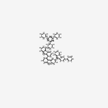 c1ccc(-c2ccc3c(c2)c2ccccc2n3-c2ccc3oc4cccc(-c5cccc6c5oc5cccc(-c7cccc(-c8nc(-c9ccccc9)nc(-c9ccccc9)n8)c7)c56)c4c3c2)cc1